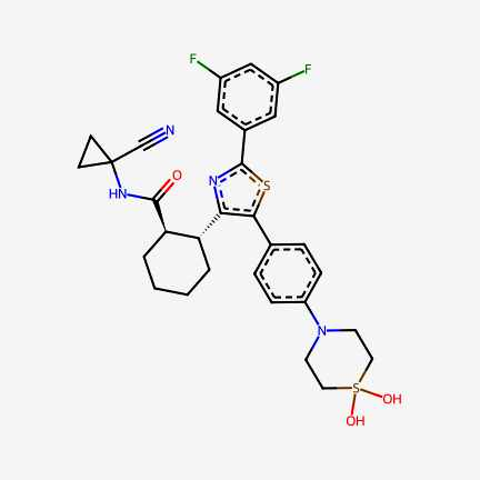 N#CC1(NC(=O)[C@@H]2CCCC[C@H]2c2nc(-c3cc(F)cc(F)c3)sc2-c2ccc(N3CCS(O)(O)CC3)cc2)CC1